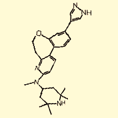 CN(c1ccc2c(n1)CCOc1cc(-c3cn[nH]c3)ccc1-2)C1CC(C)(C)NC(C)(C)C1